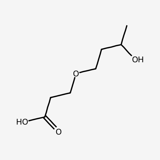 CC(O)CCOCCC(=O)O